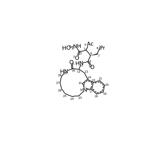 CC(=O)C(C(=O)NO)[C@@H](CC(C)C)C(=O)NC1Cc2cn(c3ccccc23)CCCCCCNC1=O